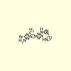 C[C@@H]1CN(c2ncnc(Nc3cnn(C[C@@H]4CNCCO4)c3)n2)CCN1c1ncc(Br)c(N)n1